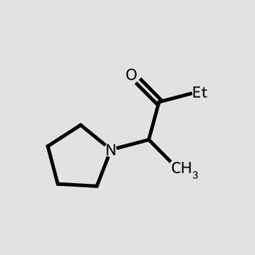 CCC(=O)C(C)N1CCCC1